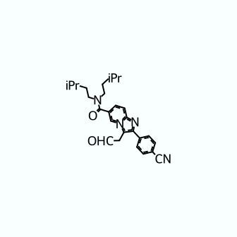 CC(C)CCN(CCC(C)C)C(=O)c1ccc2nc(-c3ccc(C#N)cc3)c(CC=O)n2c1